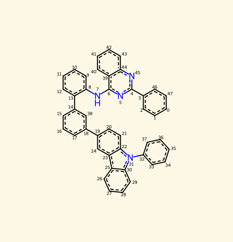 c1ccc(-c2nc(Nc3ccccc3-c3cccc(-c4ccc5c(c4)c4ccccc4n5-c4ccccc4)c3)c3ccccc3n2)cc1